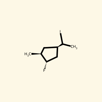 CC(I)[C@@H]1C[C@H](C)[C@@H](F)C1